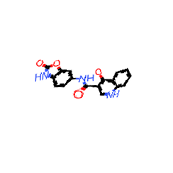 O=C(Nc1ccc2[nH]c(=O)oc2c1)c1c[nH]c2ccccc2c1=O